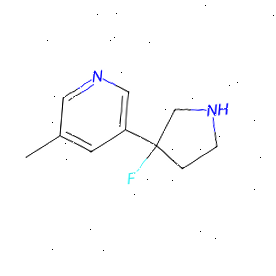 Cc1cncc(C2(F)CCNC2)c1